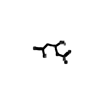 CN(CC(=O)Cl)O[SH](=O)=O